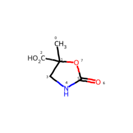 CC1(C(=O)O)CNC(=O)O1